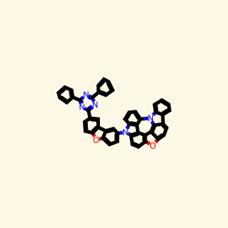 c1ccc(-c2nc(-c3ccccc3)nc(-c3ccc4oc5ccc(-n6c7ccc8oc9ccc%10c%11ccccc%11n%11c%12cccc6c%12c7c8c9c%10%11)cc5c4c3)n2)cc1